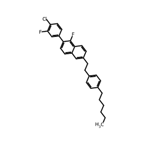 CCCCCCc1ccc(CCc2ccc3c(F)c(-c4ccc(Cl)c(F)c4)ccc3c2)cc1